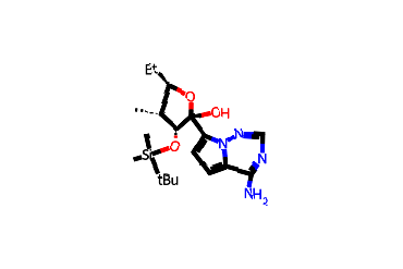 CC[C@H]1OC(O)(c2ccc3c(N)ncnn23)[C@H](O[Si](C)(C)C(C)(C)C)[C@@H]1C